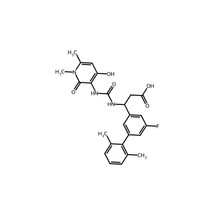 Cc1cccc(C)c1-c1cc(F)cc(C(CC(=O)O)NC(=O)Nc2c(O)cc(C)n(C)c2=O)c1